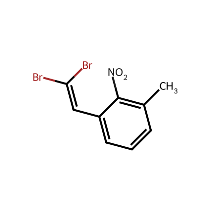 Cc1cccc(C=C(Br)Br)c1[N+](=O)[O-]